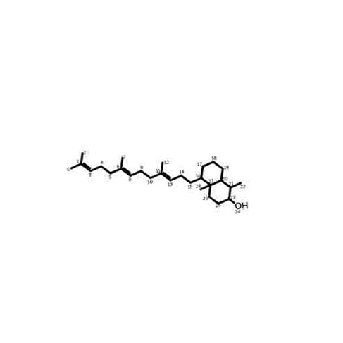 CC(C)=CCC/C(C)=C/CC/C(C)=C/CCC1CCCC2C(C)C(O)CCC12C